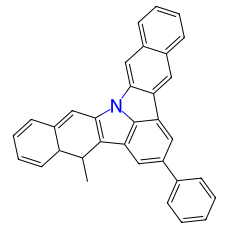 CC1c2c(n3c4cc5ccccc5cc4c4cc(-c5ccccc5)cc2c43)C=C2C=CC=CC21